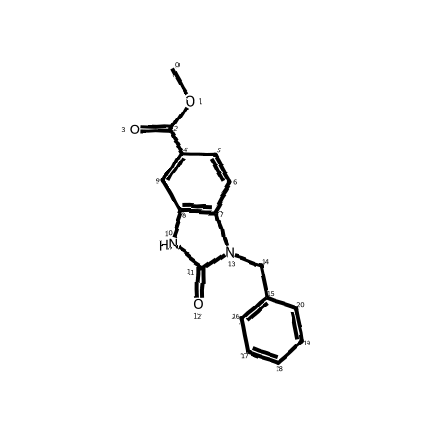 COC(=O)c1ccc2c(c1)[nH]c(=O)n2Cc1ccccc1